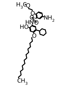 CCCCCCCCCCCCCCCCOc1cc(O)c(NS(=O)(=O)c2cc(N)ccc2OCCOC)cc1C1CCCCC1